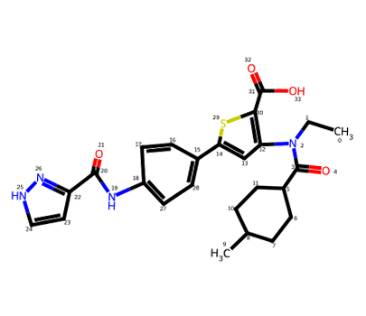 CCN(C(=O)C1CCC(C)CC1)c1cc(-c2ccc(NC(=O)c3cc[nH]n3)cc2)sc1C(=O)O